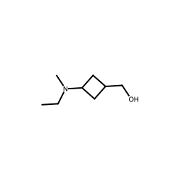 CCN(C)C1CC(CO)C1